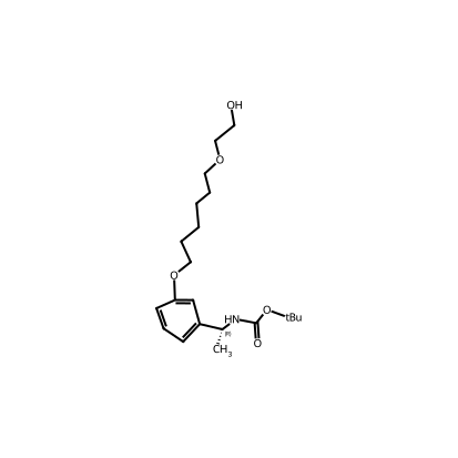 C[C@@H](NC(=O)OC(C)(C)C)c1cccc(OCCCCCCOCCO)c1